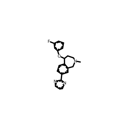 CN1CCC(Oc2cccc(F)c2)c2ccc(-c3ncccn3)cc2C1